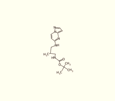 CC(CNC(=O)OC(C)(C)C)CNc1ccn2nccc2n1